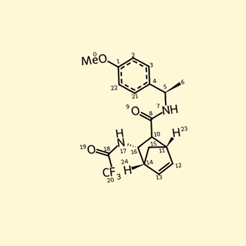 COc1ccc([C@@H](C)NC(=O)C2[C@@H]3C=C[C@@H](C3)[C@@H]2NC(=O)C(F)(F)F)cc1